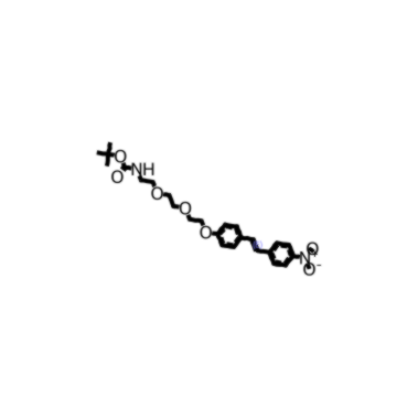 CC(C)(C)OC(=O)NCCOCCOCCOc1ccc(/C=C/c2ccc([N+](=O)[O-])cc2)cc1